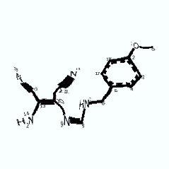 COc1ccc(CN/C=N\C(C#N)=C(/N)C#N)cc1